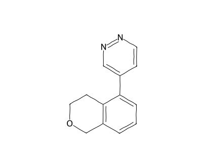 c1cc2c(c(-c3ccnnc3)c1)CCOC2